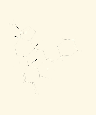 CN1C(=O)C=C[C@]2(C)[C@H]3CC[C@]4(C)[C@@H](O)CC[C@H]4[C@@H]3CC(=Cc3ccccc3)[C@@H]12